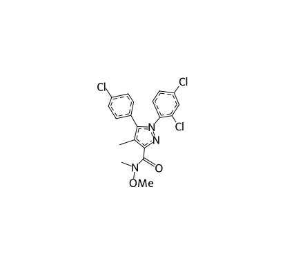 CON(C)C(=O)c1nn(-c2ccc(Cl)cc2Cl)c(-c2ccc(Cl)cc2)c1C